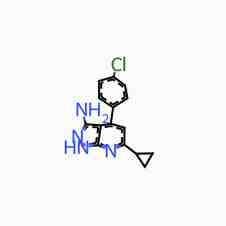 Nc1n[nH]c2nc(C3CC3)cc(-c3ccc(Cl)cc3)c12